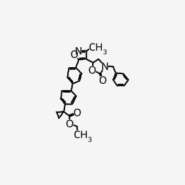 CCOC(=O)C1(c2ccc(-c3ccc(-c4onc(C)c4C4CN(Cc5ccccc5)C(=O)O4)cc3)cc2)CC1